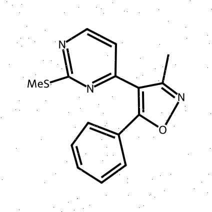 CSc1nccc(-c2c(C)noc2-c2ccccc2)n1